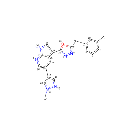 Cc1cccc(Cc2nnc(-c3c[nH]c4ncc(-c5cnn(C)c5)cc34)o2)c1